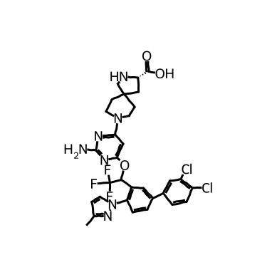 Cc1ccn(-c2ccc(-c3ccc(Cl)c(Cl)c3)cc2C(Oc2cc(N3CCC4(CC3)CN[C@H](C(=O)O)C4)nc(N)n2)C(F)(F)F)n1